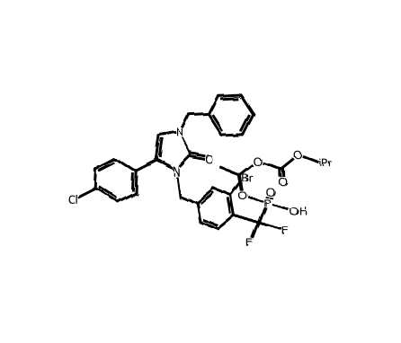 CC(C)OC(=O)OC(C)OP(=O)(O)C(F)(F)c1ccc(Cn2c(-c3ccc(Cl)cc3)cn(Cc3ccccc3)c2=O)cc1Br